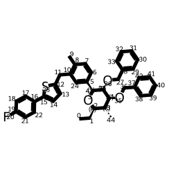 CC[C@H]1O[C@@H](c2ccc(C)c(Cc3ccc(-c4ccc(F)cc4)s3)c2)[C@H](OCc2ccccc2)[C@@H](OCc2ccccc2)[C@@H]1C